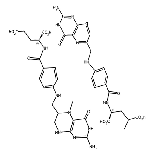 CC(C[C@H](NC(=O)c1ccc(NCc2cnc3nc(N)[nH]c(=O)c3n2)cc1)C(=O)O)C(=O)O.CN1c2c(nc(N)[nH]c2=O)NCC1CNc1ccc(C(=O)N[C@@H](CCC(=O)O)C(=O)O)cc1